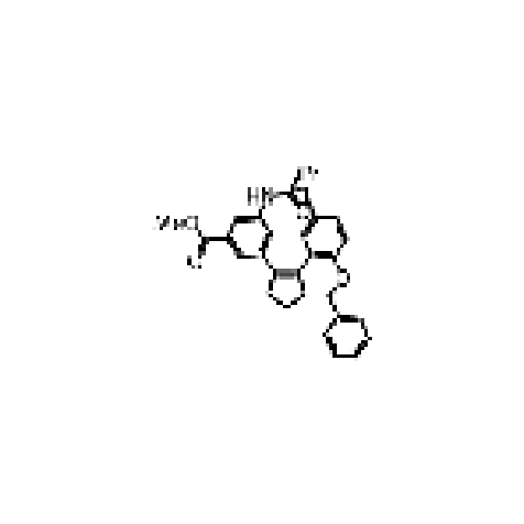 COC(=O)c1cc(NC(=O)C(C)C)cc(C2=C(c3cc(Cl)ccc3OCc3ccccc3)CCC2)c1